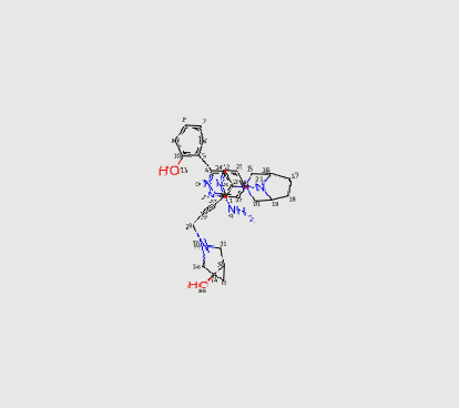 Nc1nnc(-c2ccccc2O)cc1N1CC2CCC(C1)N2c1ccnc(C#CCN2CC3C[C@]3(O)C2)c1